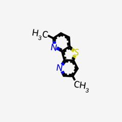 Cc1cnc2c(c1)sc1ccc(C)nc12